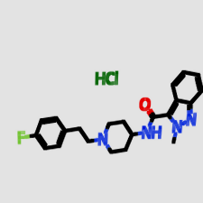 Cl.Cn1nc2ccccc2c1C(=O)NC1CCN(CCc2ccc(F)cc2)CC1